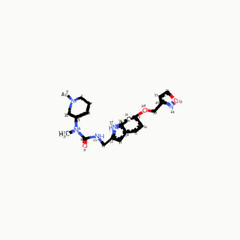 CC(=O)N1CCCC(N(C)C(=O)NCc2cc3ccc(OCc4ccon4)cc3[nH]2)C1